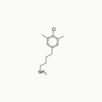 Cc1cc(CCCCN)cc(C)c1Cl